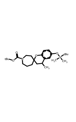 CC1CC2(CCCN(C(=O)OC(C)(C)C)CC2)Oc2ccc(O[Si](C)(C)C(C)(C)C)cc21